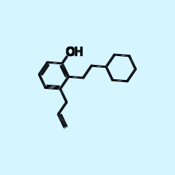 C=CCc1cccc(O)c1CCC1CCCCC1